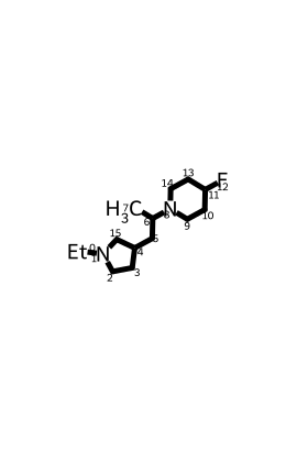 CCN1CCC(CC(C)N2CCC(F)CC2)C1